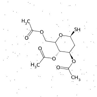 CC(=O)OCC1O[C@@H](S)C[C@@H](OC(C)=O)[C@@H]1OC(C)=O